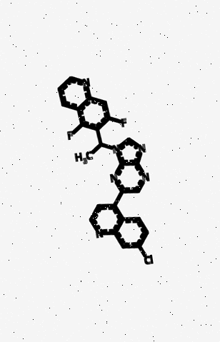 CC(c1c(F)cc2ncccc2c1F)n1cnc2ncc(-c3ccnc4cc(Cl)ccc34)nc21